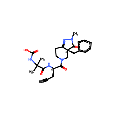 C#CC[C@@H](NC(=O)C(C)(C)NC(=O)O)C(=O)N1CCC2=NN(C)C(=O)[C@]2(Cc2ccccc2)C1